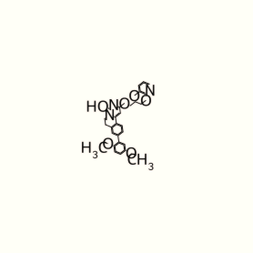 COc1ccc(OC)c(-c2ccc3c(c2)CCN2C3=CC(OCC3COc4ncccc4O3)=NC2O)c1